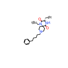 CC(C)C[C@@H]1NC(=O)C2(CCN(CCCCCc3ccccc3)CC2)N(CC(C)(C)C)C1=O